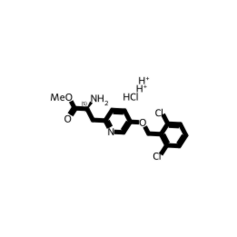 COC(=O)[C@@H](N)Cc1ccc(OCc2c(Cl)cccc2Cl)cn1.Cl.[H+].[H+]